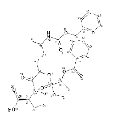 COP(=O)(OC(CCC(C)NC(=O)OCc1ccccc1)C(=O)N1CCC[C@H]1C(=O)O)[C@@H](C)OC(=O)c1ccccc1